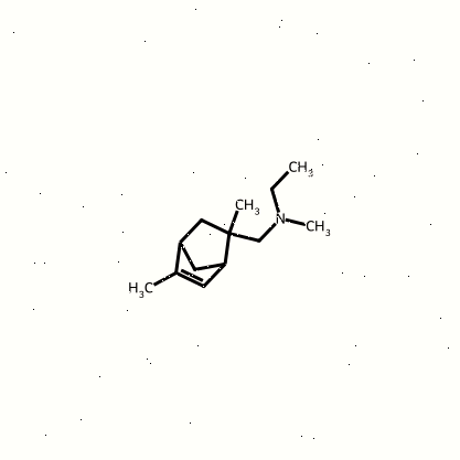 CCN(C)CC1(C)CC2CC1C=C2C